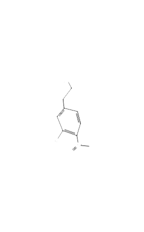 CCCc1ccc([N+](=O)[O-])c(N)c1